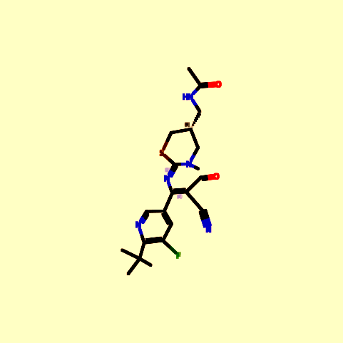 CC(=O)NC[C@H]1CS/C(=N/C(=C(/C#N)C=O)c2cnc(C(C)(C)C)c(F)c2)N(C)C1